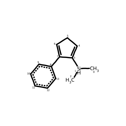 C[SiH](C)C1=[C]CC=C1c1ccccc1